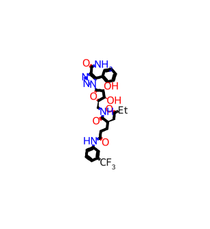 CCC(=O)C[C@@H](CCC(=O)Nc1cccc(C(F)(F)F)c1)C(=O)NC[C@H]1O[C@@H](n2nnc(C(N)=O)c2-c2ccccc2)[C@H](O)[C@@H]1O